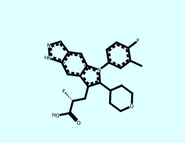 Cc1cc(-n2c(C3CCOCC3)c(C[C@@H](F)C(=O)O)c3cc4[nH]ncc4cc32)ccc1F